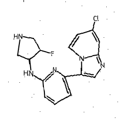 FC1CNCC1Nc1cccc(-c2cnc3cc(Cl)ccn23)n1